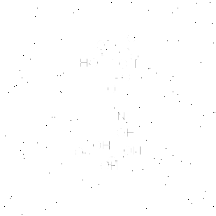 CC(=O)O.CCC(O)C(=O)O.CO.C[N+](C)(C)CCOC(=O)CC(O)(CC(=O)[O-])C(=O)O